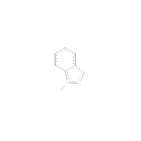 Cln1n[c]c2ccccc21